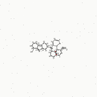 Bc1ccccc1C1CC=CC=C1N(c1ccccc1)c1ccc2c(c1)sc1c(C)cccc12